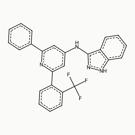 FC(F)(F)c1ccccc1-c1cc(Nc2n[nH]c3ccccc23)cc(-c2ccccc2)n1